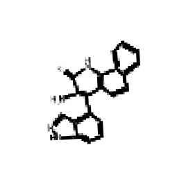 Nc1c(-c2cccc3[nH]ncc23)c2ccc3ccccc3c2[nH]c1=O